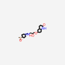 C[S+]([O-])c1ccc(CNCC(O)COc2ccc3[nH]c(=O)ccc3c2)cc1